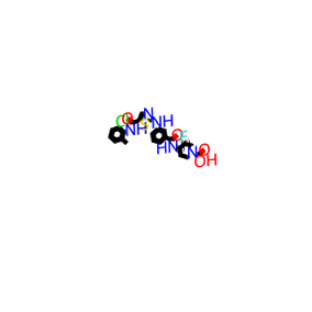 Cc1cccc(Cl)c1NC(=O)c1cnc(Nc2cccc(C(=O)N[C@@H]3CCN(C(=O)O)C[C@@H]3F)c2)s1